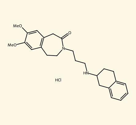 COc1cc2c(cc1OC)CC(=O)N(CCCNC1CCc3ccccc3C1)CC2.Cl